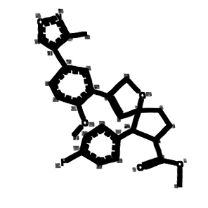 COC(=O)C1CCC2(C=C(c3cc(-c4conc4C)ccc3OC)CO2)C1c1ccc(F)cc1